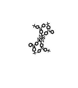 CC(C)(C)c1ccc(N(c2ccccc2)c2ccc(-c3nc4nc(-c5ccc(N(c6ccccc6)c6ccc(C(C)(C)C)cc6)cc5)c(-c5ccc(N(c6ccccc6)c6ccc(C(C)(C)C)cc6)cc5)nc4nc3-c3ccc(N(c4ccccc4)c4ccc(C(C)(C)C)cc4)cc3)cc2)cc1